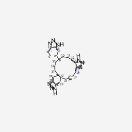 C/C=c1/nn[nH]/c1=C/CC1CC/C=c2/[nH]nn/c2=C/CCCC2C=c3[nH]nnc3=CC2CCC1